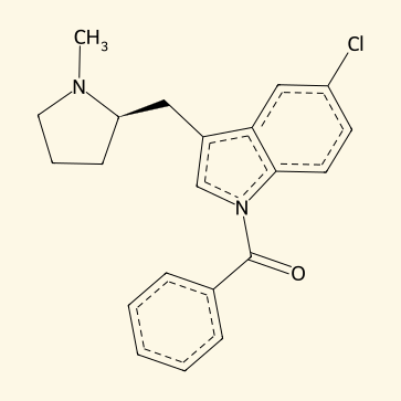 CN1CCC[C@@H]1Cc1cn(C(=O)c2ccccc2)c2ccc(Cl)cc12